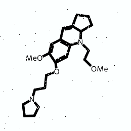 COCCN1c2cc(OCCCN3CCCC3)c(OC)cc2C=C2CCCC21